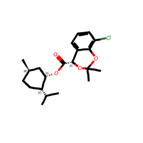 CC(C)[C@@H]1CC[C@@H](C)C[C@@H]1OC(=O)[C@H]1OC(C)(C)Oc2c(Cl)cccc21